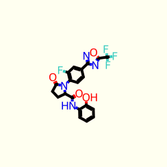 O=C(Nc1ccccc1O)C1CCC(=O)N1c1ccc(-c2noc(C(F)(F)F)n2)cc1F